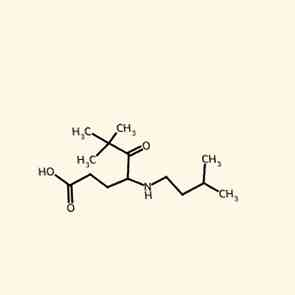 CC(C)CCNC(CCC(=O)O)C(=O)C(C)(C)C